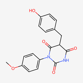 COc1ccc(N2C(=O)NC(=O)C(Cc3ccc(O)cc3)C2=O)cc1